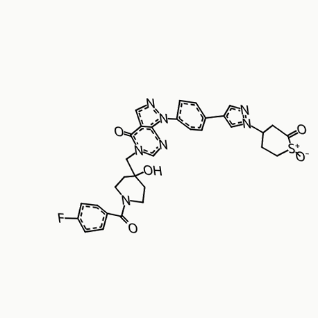 O=C(c1ccc(F)cc1)N1CCC(O)(Cn2cnc3c(cnn3-c3ccc(-c4cnn(C5CC[S+]([O-])C(=O)C5)c4)cc3)c2=O)CC1